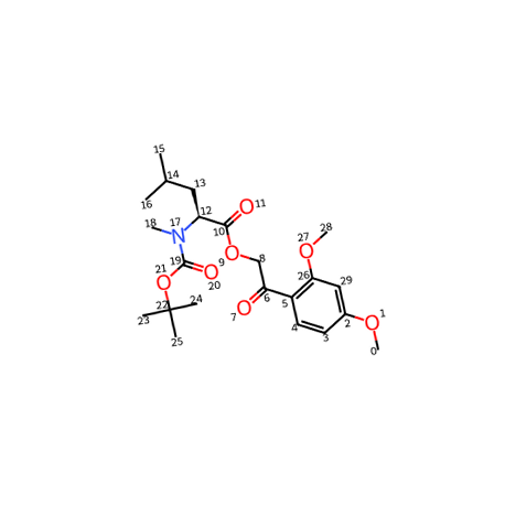 COc1ccc(C(=O)COC(=O)[C@H](CC(C)C)N(C)C(=O)OC(C)(C)C)c(OC)c1